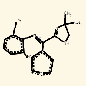 CC(C)c1cccc(C(C)C)c1/N=C(/C1=NC(C)(C)CN1)c1ccccc1